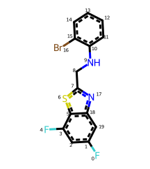 Fc1cc(F)c2sc(CNc3ccccc3Br)nc2c1